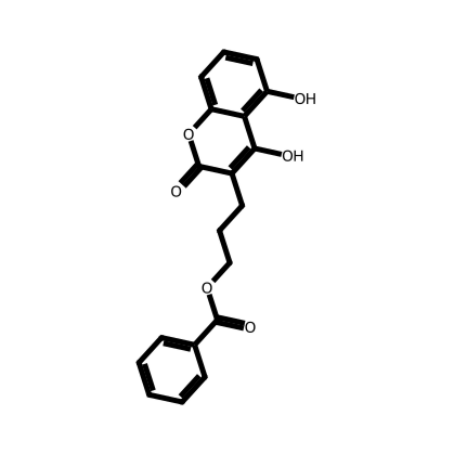 O=C(OCCCc1c(O)c2c(O)cccc2oc1=O)c1ccccc1